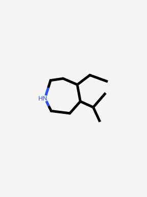 CCC1CCNCCC1C(C)C